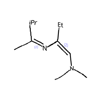 CCC(=C/N(C)C)/N=C(/C)C(C)C